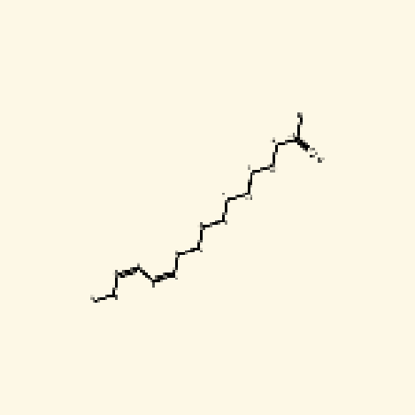 CC/C=C\C=C/CCCCCCCCCC(C)=O